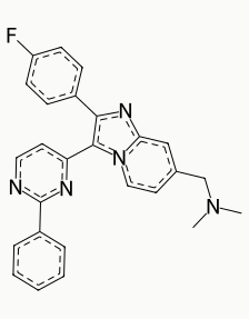 CN(C)Cc1ccn2c(-c3ccnc(-c4ccccc4)n3)c(-c3ccc(F)cc3)nc2c1